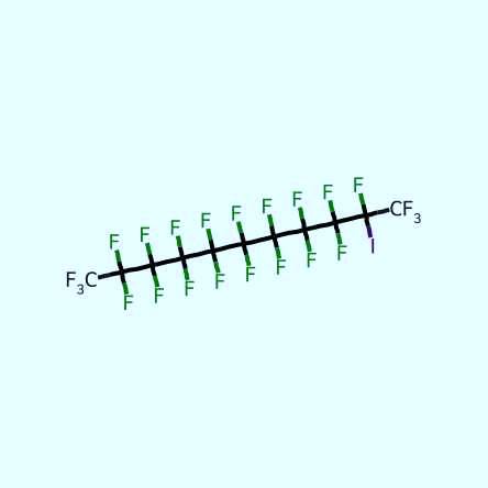 FC(F)(F)C(F)(F)C(F)(F)C(F)(F)C(F)(F)C(F)(F)C(F)(F)C(F)(F)C(F)(F)C(F)(I)C(F)(F)F